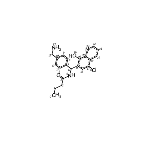 CCCC(=O)NC(c1ccc(CN)cc1)c1cc(Cl)c2cccnc2c1O